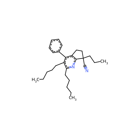 CCCCCc1nc2c(c(-c3ccccc3)c1CCCCC)CCC2(C#N)CCC